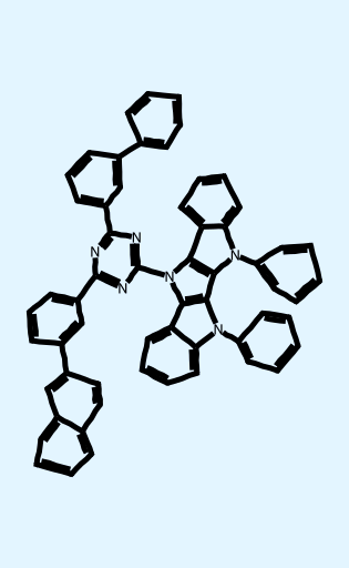 c1ccc(-c2cccc(-c3nc(-c4cccc(-c5ccc6ccccc6c5)c4)nc(-n4c5c6ccccc6n(-c6ccccc6)c5c5c4c4ccccc4n5-c4ccccc4)n3)c2)cc1